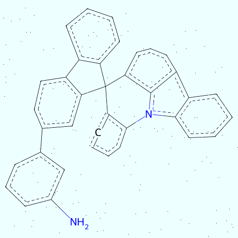 Nc1cccc(-c2ccc3c(c2)C2(c4ccccc4-3)c3ccccc3-n3c4ccccc4c4cccc2c43)c1